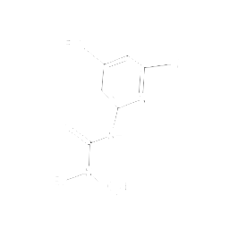 CCN(C(=O)O)C(=S)Nc1cc(C(F)(F)F)cc(Cl)n1